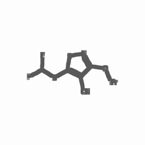 CC(C)Oc1nsc(SC(F)F)c1C#N